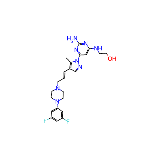 Cc1c(C=CCN2CCN(c3cc(F)cc(F)c3)CC2)cnn1-c1cc(NCCO)nc(N)n1